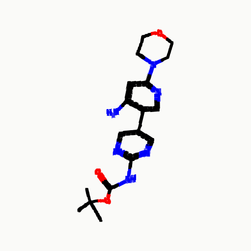 CC(C)(C)OC(=O)Nc1ncc(-c2cnc(N3CCOCC3)cc2N)cn1